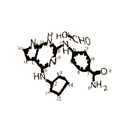 NC(=O)c1ccc(Nc2nc(NC3CCCC3)c3ccnc-3[nH]2)cc1.O=CO